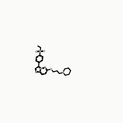 CCS(=O)(=O)c1ccc(-c2cnc3ccc(OCCCN4CCCCC4)nn23)cc1